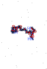 CNCCN(C)C(=O)CCN(CCC(=O)N(C)CCNC)CCN(C)C(=O)CCN(C)CCCN(C)CCCN(C)CCC(=O)N(C)CCN(CCC(=O)N(C)CCNC)CCC(=O)N(C)CCNC